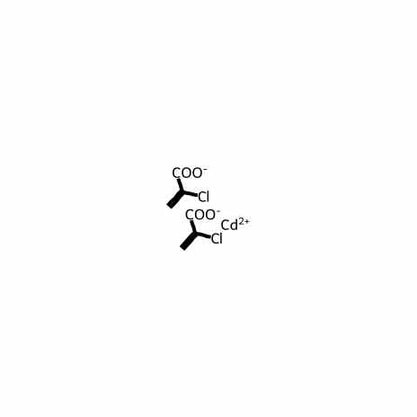 C=C(Cl)C(=O)[O-].C=C(Cl)C(=O)[O-].[Cd+2]